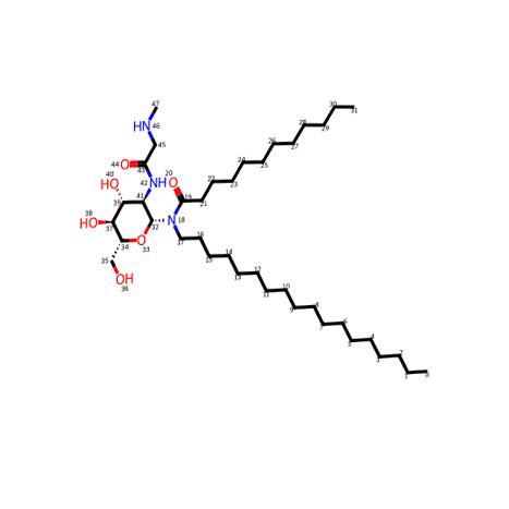 CCCCCCCCCCCCCCCCCCN(C(=O)CCCCCCCCCCC)[C@@H]1O[C@H](CO)[C@@H](O)[C@H](O)[C@H]1NC(=O)CNC